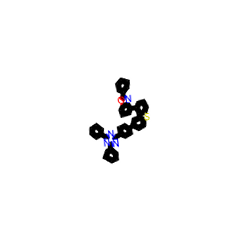 c1ccc(-c2nc(-c3ccccc3)nc(-c3ccc(-c4ccc5sc6cccc(-c7cccc8oc(-c9ccccc9)nc78)c6c5c4)cc3)n2)cc1